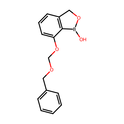 OB1OCc2cccc(OCOCc3ccccc3)c21